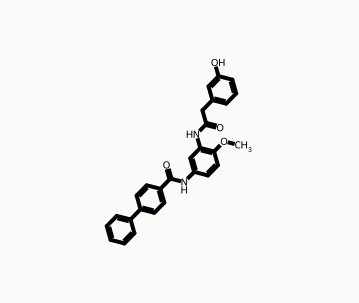 COc1ccc(NC(=O)c2ccc(-c3ccccc3)cc2)cc1NC(=O)Cc1cccc(O)c1